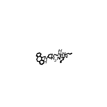 C=CCC1=NC(CC=C)N(N)C(NCCN2CCC(NCC3c4ccccc4CCc4ccccc43)CC2)=N1